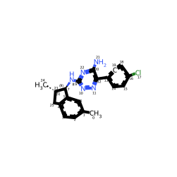 Cc1ccc2c(c1)[C@H](Nc1nnc(-c3ccc(Cl)cc3)c(N)n1)[C@@H](C)C2